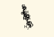 NC(=O)C1COC(CCOc2c(F)ccc3nc(C(=O)NCc4cccc(Cl)c4)[nH]c(=O)c23)CO1